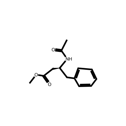 COC(=O)C[C@H](Cc1ccccc1)NC(C)=O